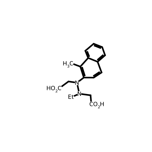 CCN(CC(=O)O)N(CC(=O)O)c1ccc2ccccc2c1C